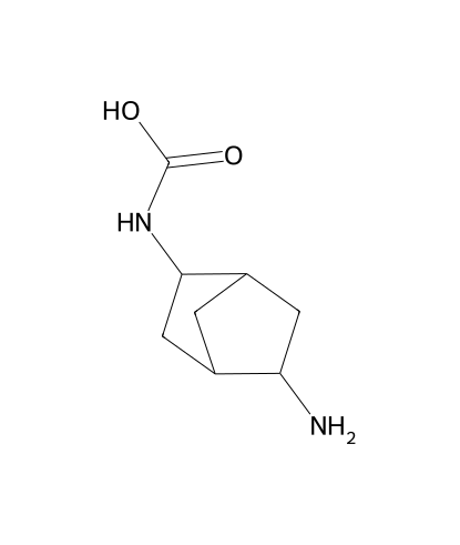 NC1CC2CC1CC2NC(=O)O